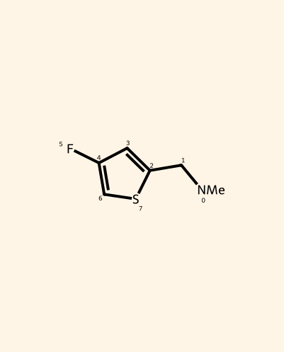 CNCc1cc(F)cs1